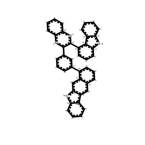 c1cc(-c2nc3ccccc3nc2-c2cccc3sc4ccccc4c23)cc(-c2cccc3cc4c(cc23)oc2ccccc24)c1